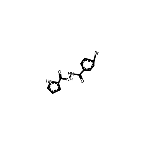 O=C(NNC(=O)c1ccc[nH]1)c1ccc(Br)cc1